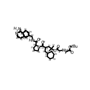 CC(C)(C)OC(=O)CNCC(=O)OC(C)(C)CC(CC1CCCCC1)C(=O)N1CCCC1C(=O)NCc1ccc2c(N)nccc2c1